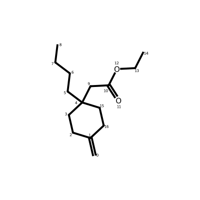 C=C1CCC(CCCC)(CC(=O)OCC)CC1